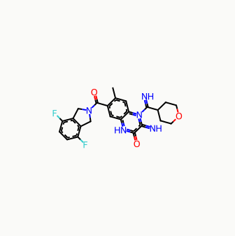 Cc1cc2c(cc1C(=O)N1Cc3c(F)ccc(F)c3C1)[nH]c(=O)c(=N)n2C(=N)C1CCOCC1